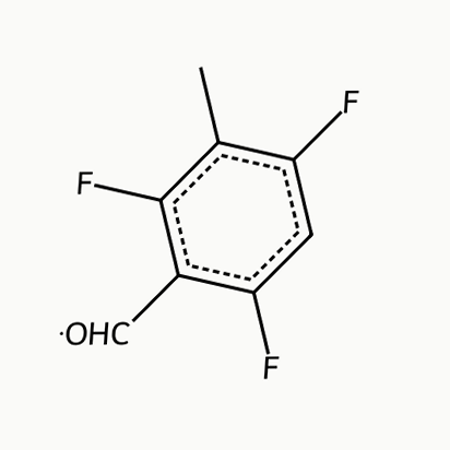 Cc1c(F)cc(F)c([C]=O)c1F